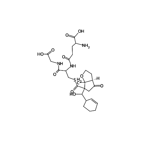 CC12OCC[C@H]1C(=O)CC2(C(=O)SCC(NC(=O)CCC(N)C(=O)O)C(=O)NCC(=O)O)C(O)C1C=CCCC1